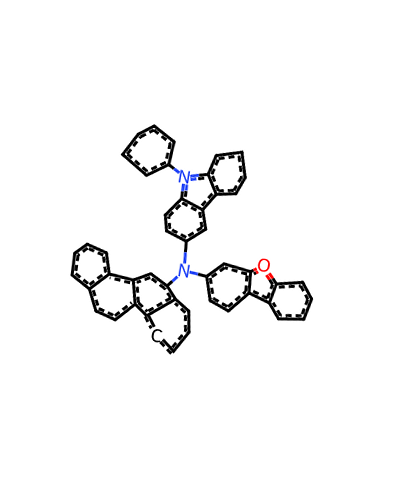 c1ccc(-n2c3ccccc3c3cc(N(c4ccc5c(c4)oc4ccccc45)c4cc5c6ccccc6ccc5c5ccccc45)ccc32)cc1